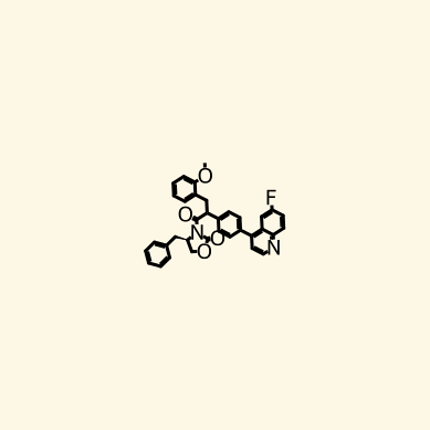 COc1ccccc1CC(C(=O)N1C(=O)OC[C@H]1Cc1ccccc1)c1ccc(-c2ccnc3ccc(F)cc23)cc1